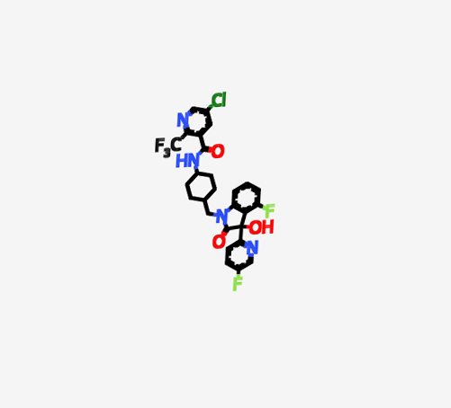 O=C(NC1CCC(CN2C(=O)C(O)(c3ccc(F)cn3)c3c(F)cccc32)CC1)c1cc(Cl)cnc1C(F)(F)F